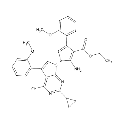 CCOC(=O)c1c(-c2ccccc2OC)csc1N.COc1ccccc1-c1csc2nc(C3CC3)nc(Cl)c12